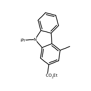 CCOC(=O)c1cc(C)c2c3ccccc3n(C(C)C)c2c1